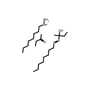 CCC(C)=O.CCCCCCCC/N=N/C(C)(O)CC.CCCCCCCCNN